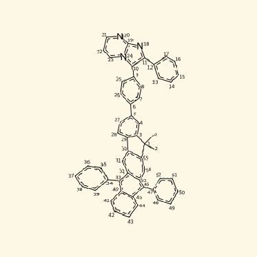 CC1(C)c2cc(-c3ccc(-c4c(-c5ccccc5)nc5ncccn45)cc3)ccc2-c2cc3c(-c4ccccc4)c4ccccc4c(-c4ccccc4)c3cc21